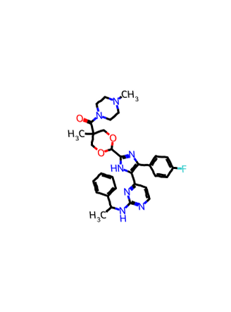 CC(Nc1nccc(-c2[nH]c(C3OCC(C)(C(=O)N4CCN(C)CC4)CO3)nc2-c2ccc(F)cc2)n1)c1ccccc1